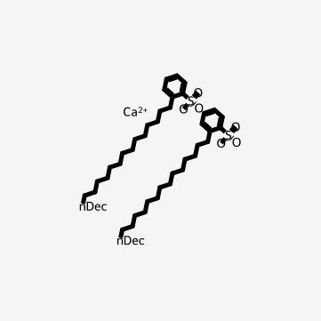 CCCCCCCCCCCCCCCCCCCCCCCCc1ccccc1S(=O)(=O)[O-].CCCCCCCCCCCCCCCCCCCCCCCCc1ccccc1S(=O)(=O)[O-].[Ca+2]